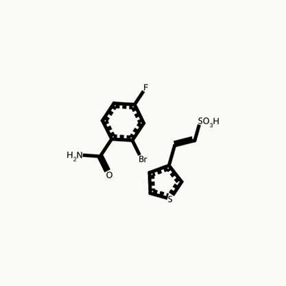 NC(=O)c1ccc(F)cc1Br.O=S(=O)(O)C=Cc1ccsc1